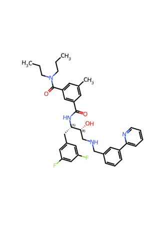 CCCN(CCC)C(=O)c1cc(C)cc(C(=O)N[C@@H](Cc2cc(F)cc(F)c2)[C@H](O)CNCc2cccc(-c3ccccn3)c2)c1